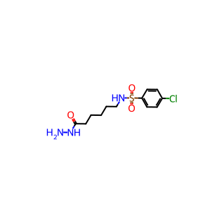 NNC(=O)CCCCCNS(=O)(=O)c1ccc(Cl)cc1